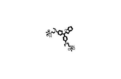 CCN(CCNS(C)(=O)=O)c1ccc(C(=C2C=CC(=[N+](CC)CCNS(C)(=O)=O)C=C2)c2cc3ccccc3o2)cc1